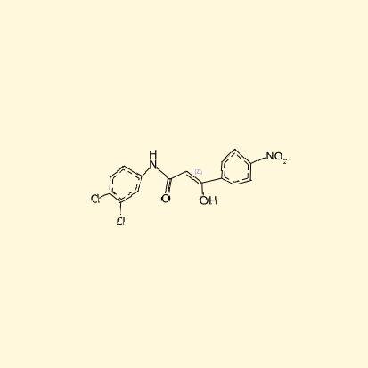 O=C(/C=C(\O)c1ccc([N+](=O)[O-])cc1)Nc1ccc(Cl)c(Cl)c1